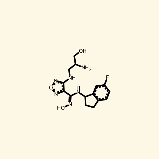 NC(CO)CNc1nonc1C(=NO)NC1CCc2ccc(F)cc21